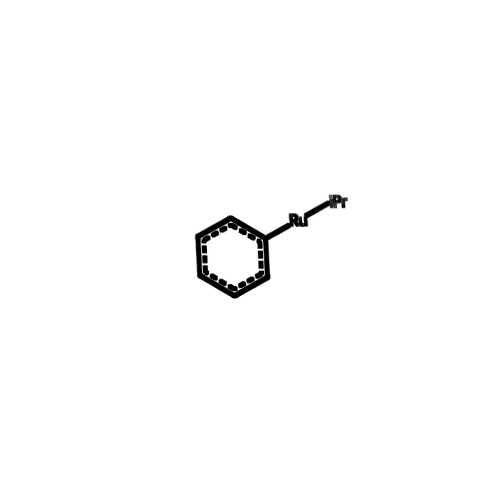 C[CH](C)[Ru][c]1ccccc1